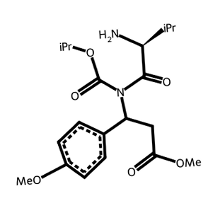 COC(=O)CC(c1ccc(OC)cc1)N(C(=O)OC(C)C)C(=O)[C@@H](N)C(C)C